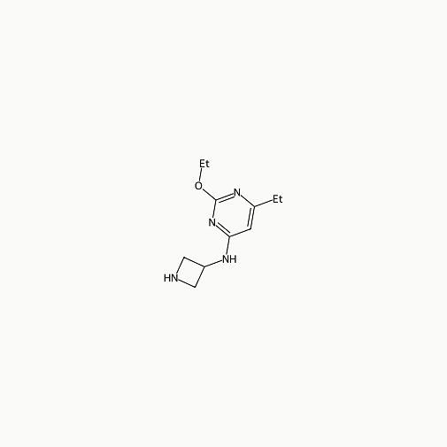 CCOc1nc(CC)cc(NC2CNC2)n1